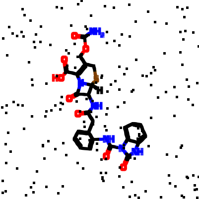 NC(=O)OCC1=C(C(=O)O)N2C(=O)C(NC(=O)Cc3ccccc3NC(=O)n3c(=O)[nH]c4ccccc43)[C@H]2SC1